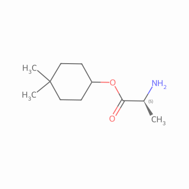 C[C@H](N)C(=O)OC1CCC(C)(C)CC1